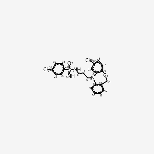 N=S(=O)(NCCCN1c2ccccc2CCc2ccc(Cl)cc21)c1ccc(Cl)cc1